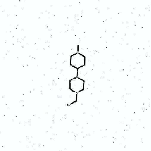 CN1CCC(N2CCN(CS)CC2)CC1